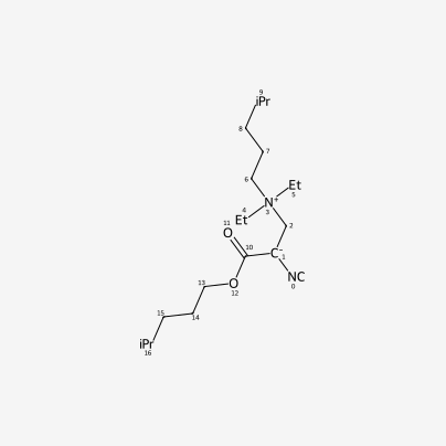 [C-]#[N+][C-](C[N+](CC)(CC)CCCC(C)C)C(=O)OCCCC(C)C